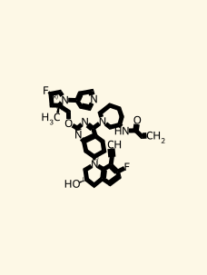 C#Cc1c(F)ccc2c1N([C@@H]1CCc3c(nc(OC[C@]4(C)C[C@@H](F)CN4c4ccncc4)nc3N3CCCCC(NC(=O)C=C)C3)C1)C[C@@H](O)C2